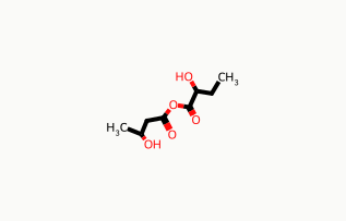 CCC(O)C(=O)OC(=O)CC(C)O